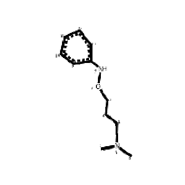 CN(C)CCCONc1ccccc1